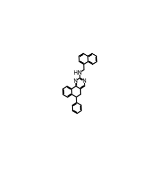 c1ccc(C2Cc3cnc(NCc4cccc5ccccc45)nc3-c3ccccc32)cc1